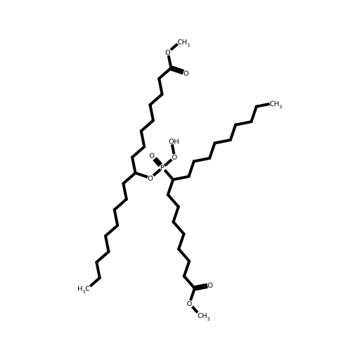 CCCCCCCCCC(CCCCCCCC(=O)OC)OP(=O)(OO)C(CCCCCCCCC)CCCCCCCC(=O)OC